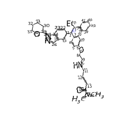 CC/C(=C(/c1ccc(OCCNCC=CC(=O)N(C)C)cc1)c1ccc2c(cnn2C2CCCCO2)c1)c1ccccc1